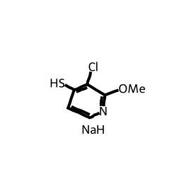 COc1nccc(S)c1Cl.[NaH]